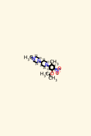 Cc1cc([N+](=O)[O-])c(OC(C)C)cc1N1CCC(N2CCN(C)CC2)CC1